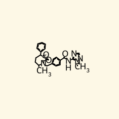 CC1CCC(c2ccccc2)S(=O)(=O)N1Cc1ccc(C(=O)Nc2ncnn2C)cc1